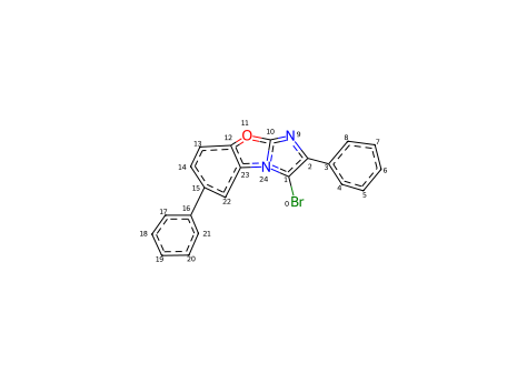 Brc1c(-c2ccccc2)nc2oc3ccc(-c4ccccc4)cc3n12